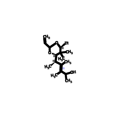 C=CC1O[C@@H](CC)C(C)(C)[C@H]([C@@H](C)/C(C)=C(\C)C(C)O)O1